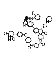 CC(C)n1cnc2cc(-c3ccc4c(c3)N(C3CC(N5CCCCC5)C3)C(=O)C43CCN(C(=O)[C@@H]4CCN(C(=O)C5CCC(Oc6ccc(C7CCC(=O)NC7=O)cc6)CC5)C4)CC3)nc(Nc3ccccc3F)c21